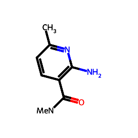 CNC(=O)c1ccc(C)nc1N